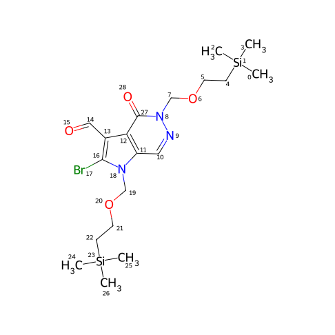 C[Si](C)(C)CCOCn1ncc2c(c(C=O)c(Br)n2COCC[Si](C)(C)C)c1=O